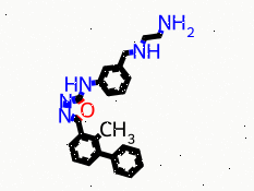 Cc1c(-c2ccccc2)cccc1-c1nnc(Nc2cccc(CNCCN)c2)o1